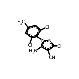 N#Cc1c(Cl)nn(-c2c(Cl)cc(C(F)(F)F)cc2Cl)c1N